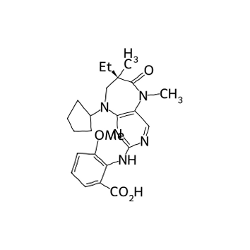 CC[C@]1(C)CN(C2CCCC2)c2nc(Nc3c(OC)cccc3C(=O)O)ncc2N(C)C1=O